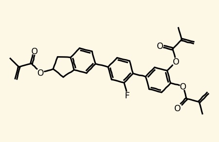 C=C(C)C(=O)Oc1ccc(-c2ccc(-c3ccc4c(c3)CC(OC(=O)C(=C)C)C4)cc2F)cc1OC(=O)C(=C)C